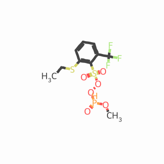 CCSc1cccc(C(F)(F)F)c1S(=O)(=O)OO[PH](=O)OC